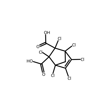 O=C(O)C1(Cl)C2(Cl)CC(Cl)(C(Cl)=C2Cl)C1(Cl)C(=O)O